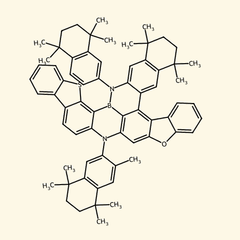 Cc1cc2c(cc1N1c3cc4oc5ccccc5c4c4c3B(c3c1ccc1c3sc3ccccc31)N(c1ccc3c(c1)C(C)(C)CCC3(C)C)c1cc3c(cc1-4)C(C)(C)CCC3(C)C)C(C)(C)CCC2(C)C